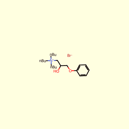 CCCC[N+](CCCC)(CCCC)CC(O)COc1ccccc1.[Br-]